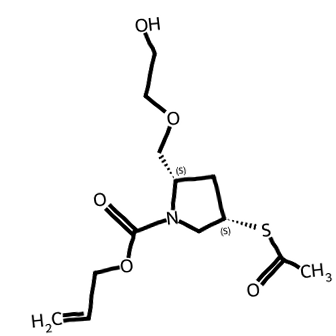 C=CCOC(=O)N1C[C@@H](SC(C)=O)C[C@H]1COCCO